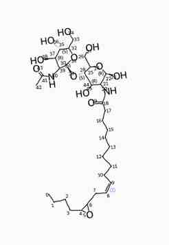 CCCCC1OC1C/C=C\CCCCCCCCC(=O)NC1[C@H](O)OC(CO)[C@@H](O[C@@H]2OC(CO)[C@@H](O)[C@H](O)C2NC(C)=O)[C@@H]1O